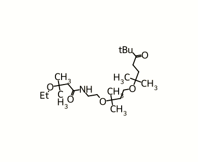 CCOC(C)(C)CC(=O)NCCOC(C)(C)CCOC(C)(C)CCC(=O)C(C)(C)C